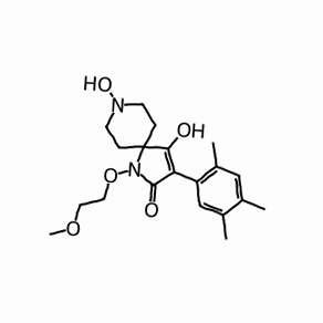 COCCON1C(=O)C(c2cc(C)c(C)cc2C)=C(O)C12CCN(O)CC2